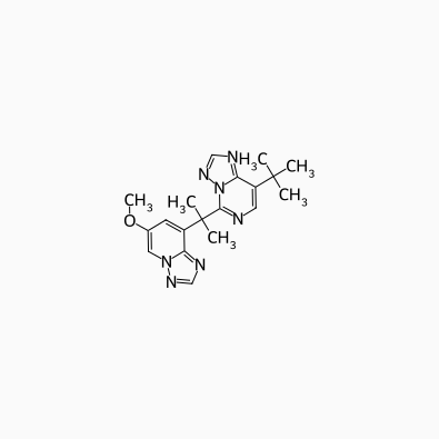 COc1cc(C(C)(C)c2ncc(C(C)(C)C)c3ncnn23)c2ncnn2c1